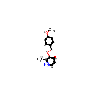 COc1ccc(COc2c(C)[nH]ccc2=O)cc1